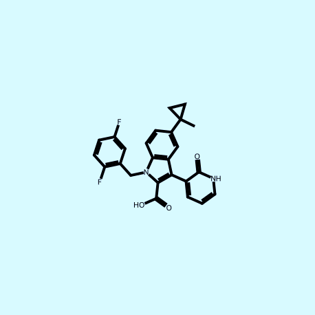 CC1(c2ccc3c(c2)c(-c2ccc[nH]c2=O)c(C(=O)O)n3Cc2cc(F)ccc2F)CC1